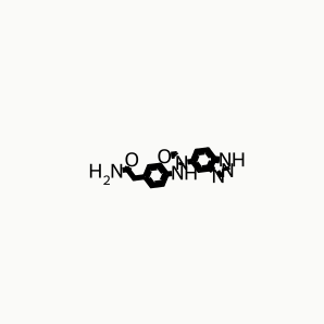 NC(=O)Cc1ccc(NN(C=O)c2ccc3[nH]nnc3c2)cc1